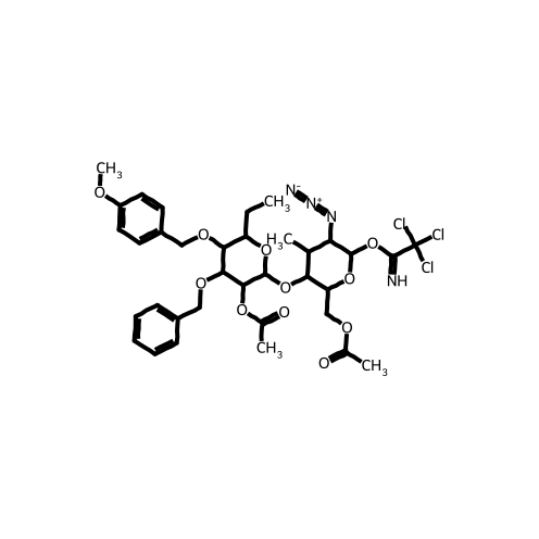 CCC1OC(OC2C(COC(C)=O)OC(OC(=N)C(Cl)(Cl)Cl)C(N=[N+]=[N-])C2C)C(OC(C)=O)C(OCc2ccccc2)C1OCc1ccc(OC)cc1